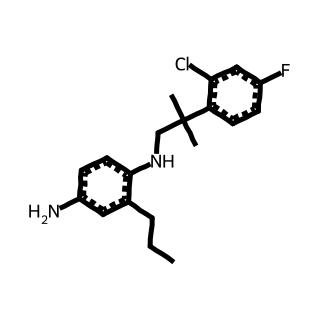 CCCc1cc(N)ccc1NCC(C)(C)c1ccc(F)cc1Cl